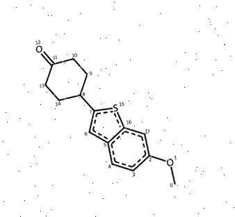 COc1ccc2cc(C3CCC(=O)CC3)sc2c1